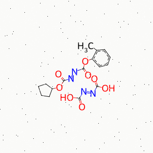 Cc1ccccc1OC(=O)N=NC(=O)OC1CCCC1.O=C(O)N=NC(=O)O